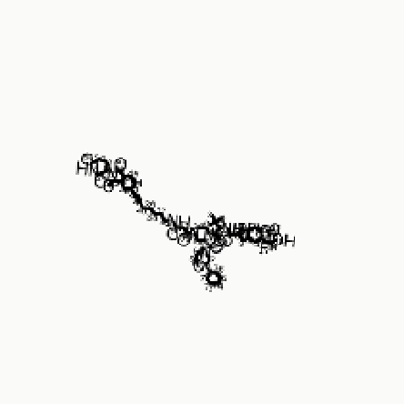 CC(C)(C)C(NC(=O)c1cc2cc(C(F)(F)P(=O)(O)O)ccc2s1)C(=O)N1CCN(C(=O)CC(=O)NCCCCCC#Cc2ccc3c(c2)C(=O)N(C2CCC(=O)NC2=O)C3=O)C[C@H]1C(=O)N1CCO[C@H](c2ccccc2)C1